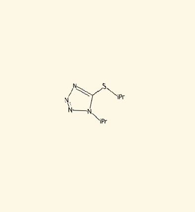 CC(C)Sc1nnnn1C(C)C